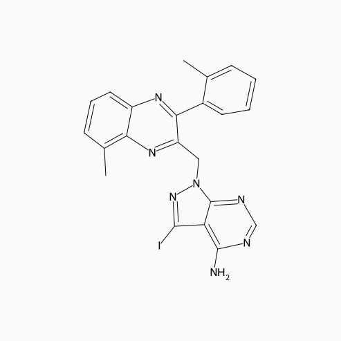 Cc1ccccc1-c1nc2cccc(C)c2nc1Cn1nc(I)c2c(N)ncnc21